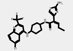 CC/C=C(\C(=O)NC1CCC(Nc2cc(C(F)(F)F)nc3ccc(Cl)cc23)CC1)c1csc(N)n1